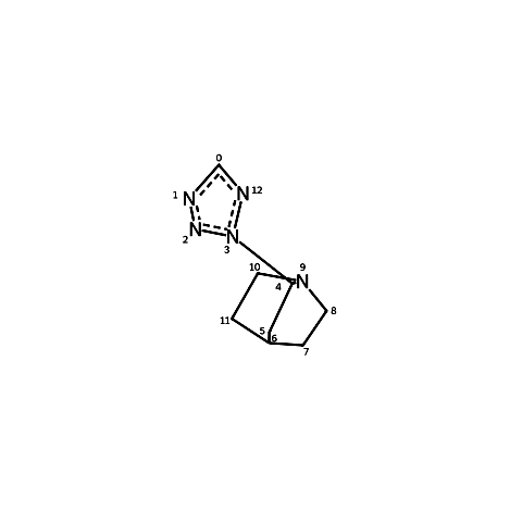 c1nnn(C2CC3CCN2CC3)n1